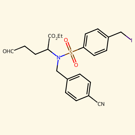 CCOC(=O)C(CCC=O)N(Cc1ccc(C#N)cc1)S(=O)(=O)c1ccc(CI)cc1